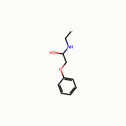 [CH2]CNC(O)COc1ccccc1